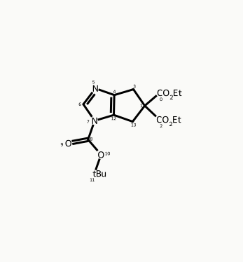 CCOC(=O)C1(C(=O)OCC)Cc2ncn(C(=O)OC(C)(C)C)c2C1